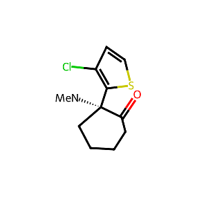 CN[C@@]1(c2sccc2Cl)CCCCC1=O